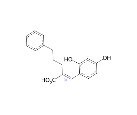 O=C(O)/C(=C/c1ccc(O)cc1O)CCCc1ccccc1